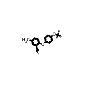 Cc1ccc(Oc2ccc(OC(F)(F)F)cc2)c(C#N)c1